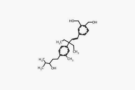 CCC(/C=C/c1ccc(CO)c(CO)c1)(CC)c1ccc(CCC(O)C(C)C)c(C)c1